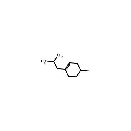 CC(C)CC1=CCC(F)CC1